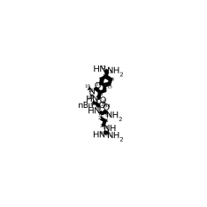 CCCCC(NC(=O)C(Cc1ccc(C(=N)N)cc1)C(=O)N(C)C)C(=O)N[C@@H](CCCNC(=N)N)C(N)=O